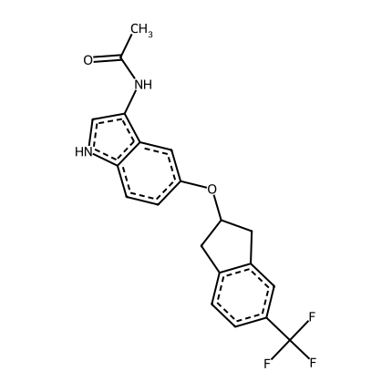 CC(=O)Nc1c[nH]c2ccc(OC3Cc4ccc(C(F)(F)F)cc4C3)cc12